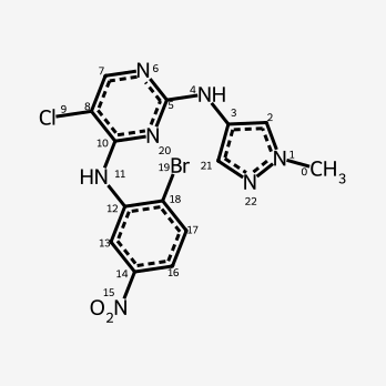 Cn1cc(Nc2ncc(Cl)c(Nc3cc([N+](=O)[O-])ccc3Br)n2)cn1